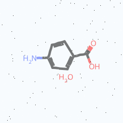 Nc1ccc(C(=O)O)cc1.O